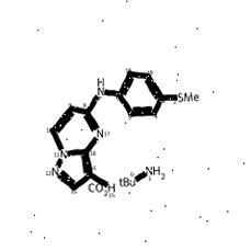 CC(C)(C)N.CSc1ccc(Nc2ccn3ncc(C(=O)O)c3n2)cc1